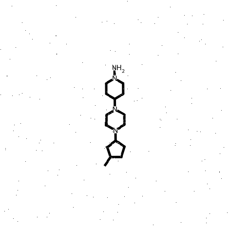 CC1CCC(N2CCN(C3CCN(N)CC3)CC2)C1